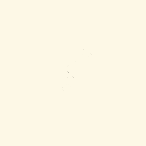 OC(/C=C\n1cnc(-c2cc(C(F)(F)F)cc(C(F)(F)F)c2)n1)NCc1cncnc1